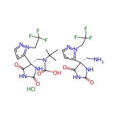 CC(C)(C)N(C[C@]1(c2ccnn2CC(F)(F)F)NC(=O)NC1=O)C(=O)O.Cl.NC[C@]1(c2ccnn2CC(F)(F)F)NC(=O)NC1=O